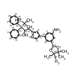 CC1(C)OB(c2cc(N)cc(-c3cnn(CC(O)[Si](c4ccccc4)(c4ccccc4)C(C)(C)C)c3)c2)OC1(C)C